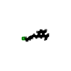 C=C(C)c1cc(CCC#CCCl)ccc1C